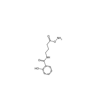 NOC(=O)CCCNC(=O)c1ccccc1O